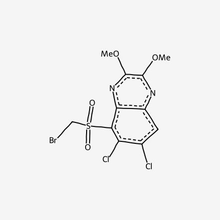 COc1nc2cc(Cl)c(Cl)c(S(=O)(=O)CBr)c2nc1OC